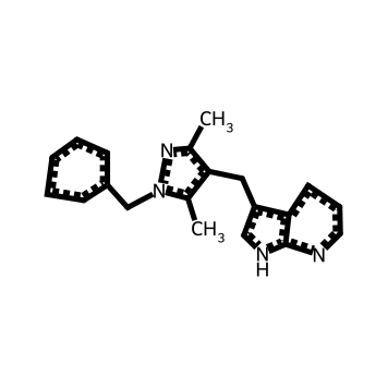 Cc1nn(Cc2ccccc2)c(C)c1Cc1c[nH]c2ncccc12